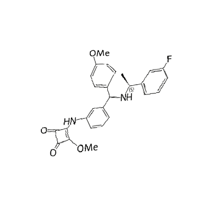 COc1ccc(C(N[C@@H](C)c2cccc(F)c2)c2cccc(Nc3c(OC)c(=O)c3=O)c2)cc1